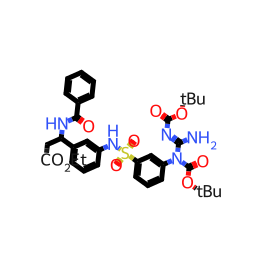 CCOC(=O)CC(NC(=O)c1ccccc1)c1cccc(NS(=O)(=O)c2cccc(N(C(=O)OC(C)(C)C)C(N)=NC(=O)OC(C)(C)C)c2)c1